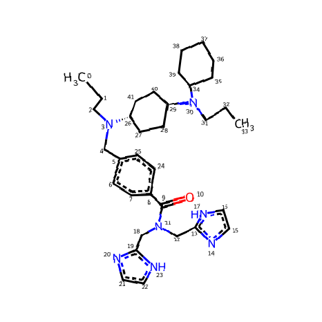 CCCN(Cc1ccc(C(=O)N(Cc2ncc[nH]2)Cc2ncc[nH]2)cc1)[C@H]1CC[C@H](N(CCC)C2CCCCC2)CC1